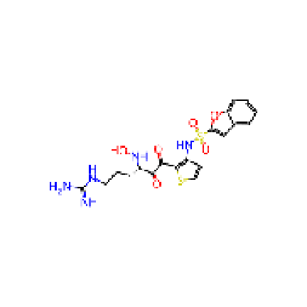 N=C(N)NCCC[C@H](NO)C(=O)C(=O)c1sccc1NS(=O)(=O)c1cc2ccccc2o1